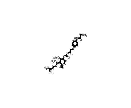 COC1C(OC(=O)NC(=O)CSc2ccc(NC(=O)CN)cc2)CC[C@]2(CO2)C1[C@H](C)OCC=C(C)C